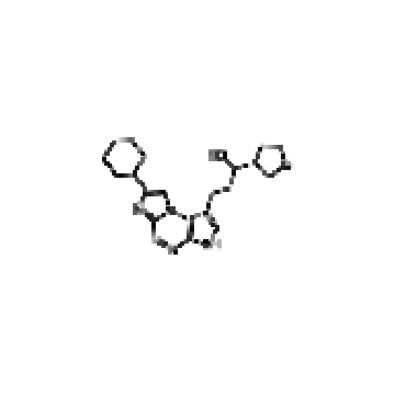 OC(CCc1c[nH]c2ncc3nc(C4CCCCC4)cn3c12)C1CCOC1